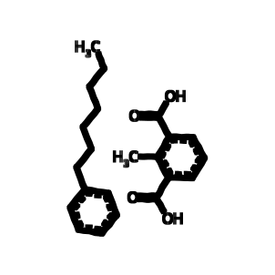 CCCCCCCc1ccccc1.Cc1c(C(=O)O)cccc1C(=O)O